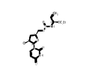 C=C[C@H](N[PH](=O)OC[C@@H]1C[C@H](Cl)[C@H](n2ccc(=O)[nH]c2=O)O1)C(=O)OCC